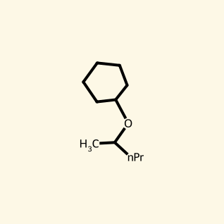 CCCC(C)OC1CCCCC1